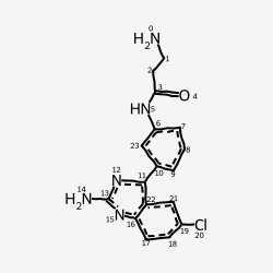 NCCC(=O)Nc1cccc(-c2nc(N)nc3ccc(Cl)cc23)c1